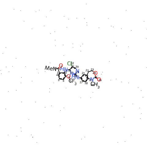 CNC(=O)c1cccc(OC(F)(F)F)c1Nc1nc(Nc2ccc3c(c2)CCOC(=O)N3C)ncc1Cl